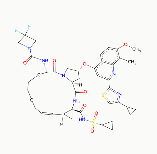 COc1ccc2c(O[C@@H]3C[C@H]4C(=O)N[C@]5(C(=O)NS(=O)(=O)C6CC6)C[C@H]5C=CCCCCC[C@H](NC(=O)N5CC(F)(F)C5)C(=O)N4C3)cc(-c3nc(C4CC4)cs3)nc2c1C